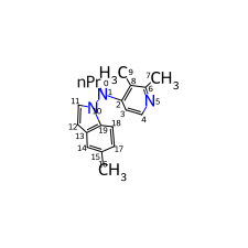 CCCN(c1ccnc(C)c1C)n1ccc2cc(C)ccc21